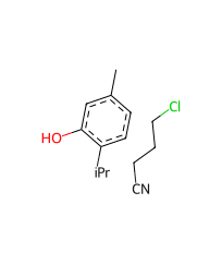 Cc1ccc(C(C)C)c(O)c1.N#CCCCCl